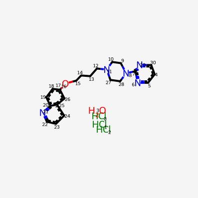 Cl.Cl.Cl.O.c1cnc(N2CCN(CCCCOc3ccc4ncccc4c3)CC2)nc1